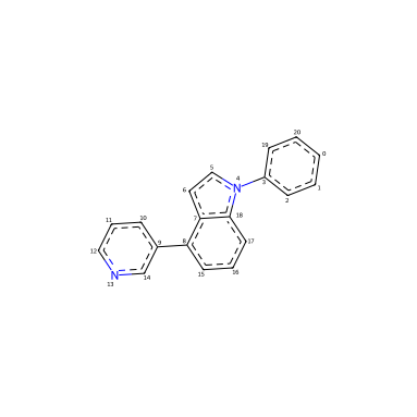 c1ccc(-n2ccc3c(-c4cccnc4)cccc32)cc1